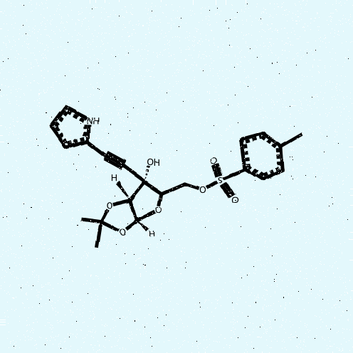 Cc1ccc(S(=O)(=O)OCC2O[C@@H]3OC(C)(C)O[C@@H]3[C@@]2(O)C#Cc2ccc[nH]2)cc1